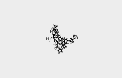 C=CC1C[C@]1(NC(=O)C1C[C@@H](Oc2cc(-c3csc(NC(C)C)n3)nc3c4c(ccc23)OCC4)CN1C(=O)[C@@H](NC(=O)OC1CCCC1)C(C)(C)C)C(=O)NS(=O)(=O)C1CC1